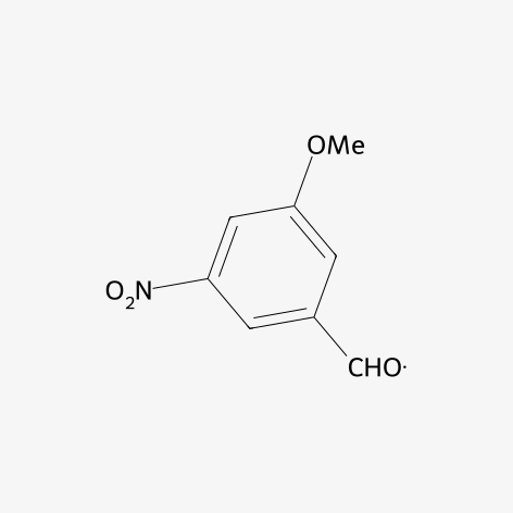 COc1cc([C]=O)cc([N+](=O)[O-])c1